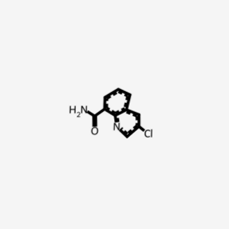 NC(=O)c1cccc2cc(Cl)cnc12